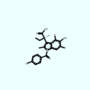 CC[C@@](C)(C(=O)O)c1c(C)n(C(=O)c2ccc(Cl)cc2)c2cc(F)c(O)c(F)c12